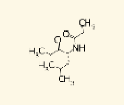 CCC(=O)N[C@H](CC(C)C)C(=O)CC